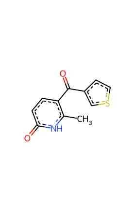 Cc1[nH]c(=O)ccc1C(=O)c1ccsc1